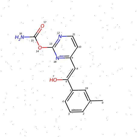 Cc1cccc(C(O)=Cc2ccnc(OC(N)=O)n2)c1